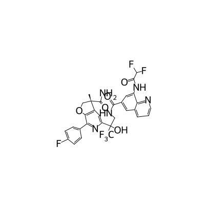 C[C@]1(C(N)=O)COc2c1cc(C(O)(CNC(=O)c1cc(NC(=O)C(F)F)c3ncccc3c1)C(F)(F)F)nc2-c1ccc(F)cc1